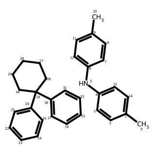 Cc1ccc(Nc2ccc(C)cc2)cc1.c1ccc(C2(c3ccccc3)CCCCC2)cc1